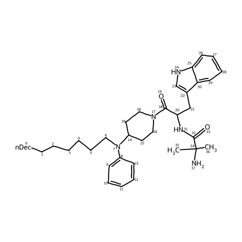 CCCCCCCCCCCCCCCCN(c1ccccc1)C1CCN(C(=O)C(Cc2c[nH]c3ccccc23)NC(=O)C(C)(C)N)CC1